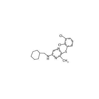 Cc1nc(NCC2CCCCC2)cnc1Sc1cccc(Cl)c1Cl